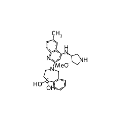 CO[C@H]1CNC[C@@H]1Nc1cc(N2CCS(O)(O)c3ccccc3C2)nc2ccc(C)cc12